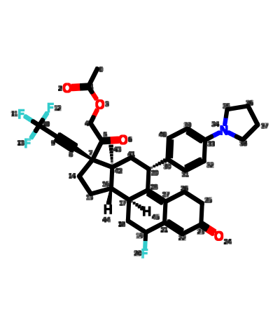 CC(=O)OCC(=O)[C@@]1(C#CC(F)(F)F)CC[C@H]2[C@@H]3CC(F)C4=CC(=O)CCC4=C3[C@@H](c3ccc(N4CCCC4)cc3)C[C@@]21C